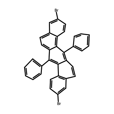 Brc1ccc2c(ccc3c(-c4ccccc4)c4c(ccc5cc(Br)ccc54)c(-c4ccccc4)c32)c1